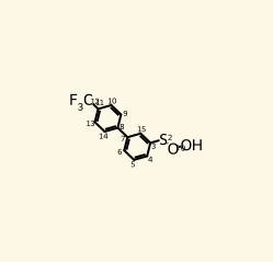 OOSc1cccc(-c2ccc(C(F)(F)F)cc2)c1